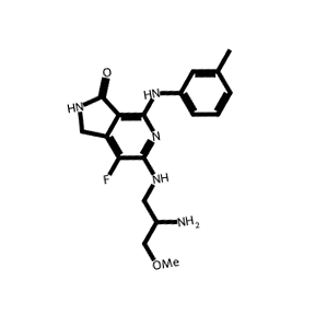 COCC(N)CNc1nc(Nc2cccc(C)c2)c2c(c1F)CNC2=O